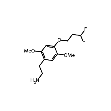 COc1cc(OCCC(F)F)c(OC)cc1CCN